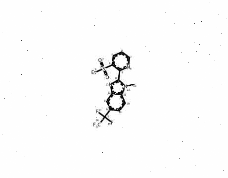 CCS(=O)(=O)c1cccnc1-c1nc2cc(C(F)(F)C(F)(F)F)ccc2n1C